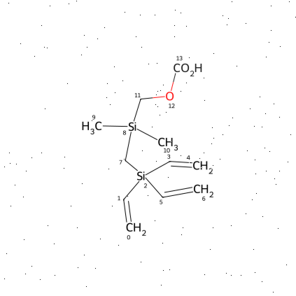 C=C[Si](C=C)(C=C)C[Si](C)(C)COC(=O)O